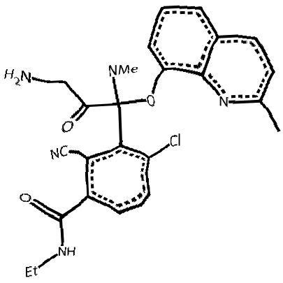 CCNC(=O)c1ccc(Cl)c(C(NC)(Oc2cccc3ccc(C)nc23)C(=O)CN)c1C#N